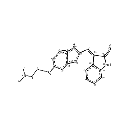 CN(C)CCOc1ccc2[nH]c(/C=C3/C(=O)Nc4ccccc43)cc2c1